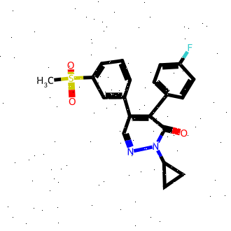 CS(=O)(=O)c1cccc(-c2cnn(C3CC3)c(=O)c2-c2ccc(F)cc2)c1